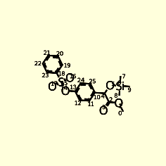 COC(=O)C(O[Si](C)(C)C)c1ccc(OS(=O)(=O)c2ccccc2)cc1